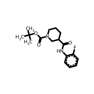 CC(C)(C)OC(=O)N1CCCC(C(=O)Nc2ccccc2F)C1